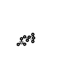 c1ccc(-c2nc(-c3ccccc3)nc(-c3cccc(-c4cccc(-n5c6ccccc6c6cc(-n7c8ccccc8c8ccc9c%10ccccc%10oc9c87)ccc65)c4)c3)n2)cc1